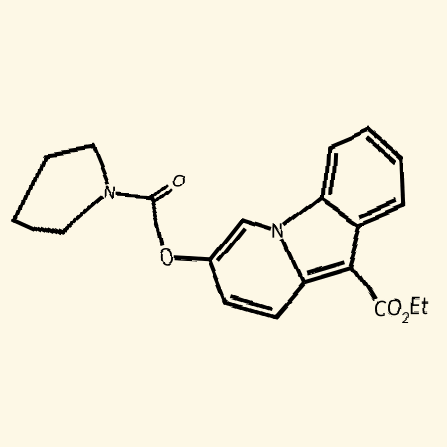 CCOC(=O)c1c2ccccc2n2cc(OC(=O)N3CCCC3)ccc12